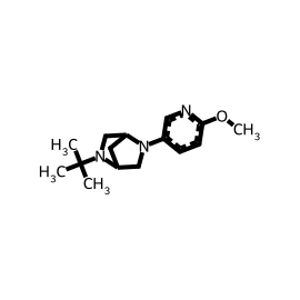 COc1ccc(N2CC3CC2CN3C(C)(C)C)cn1